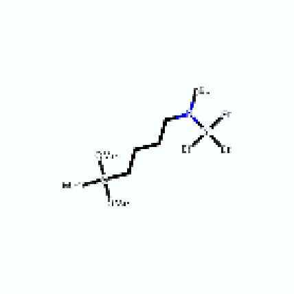 CCCCN(CCCC[Si](OC)(OC)OC)[Si](CC)(CC)CC